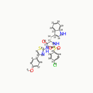 COc1ccc(-c2csc(NC(=O)[C@H](Cc3c[nH]c4ccccc34)NS(=O)(=O)c3ccc(Cl)cc3)n2)cc1